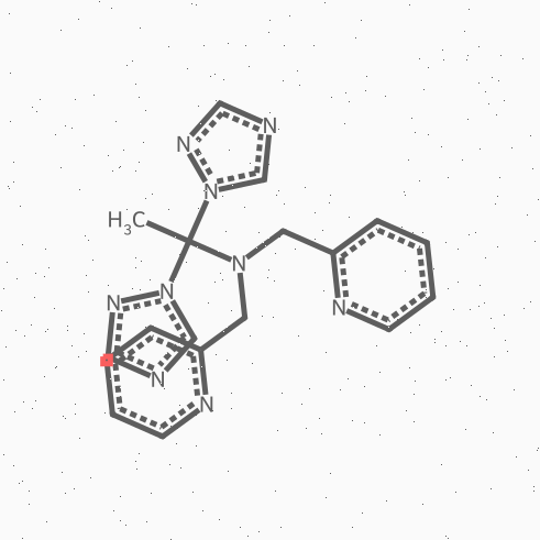 CC(N(Cc1ccccn1)Cc1ccccn1)(n1cncn1)n1cncn1